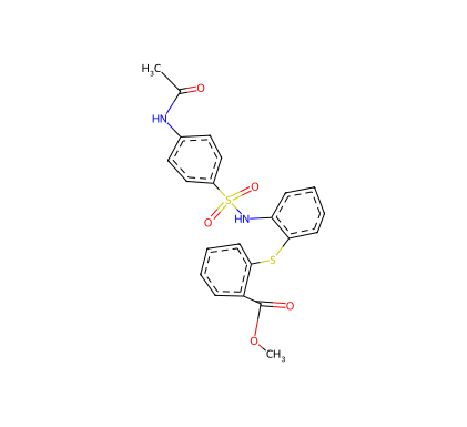 COC(=O)c1ccccc1Sc1ccccc1NS(=O)(=O)c1ccc(NC(C)=O)cc1